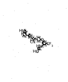 N#CC[C@]1(n2cc(-c3ncnc4[nH]ccc34)cn2)C[C@@H](N2CCC(Oc3cc(CN[C@H]4C[C@@H](O)C4)cc(C(F)(F)F)n3)CC2)C1